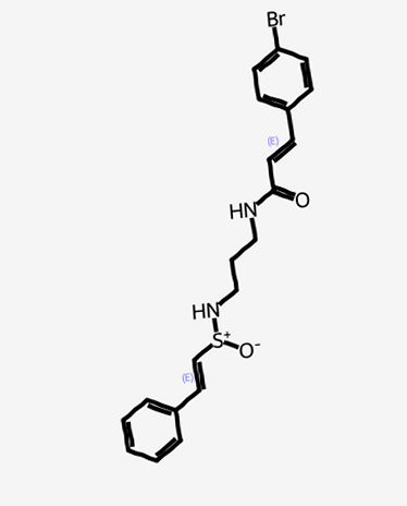 O=C(/C=C/c1ccc(Br)cc1)NCCCN[S+]([O-])/C=C/c1ccccc1